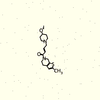 Cc1cc2c(s1)CN(C(=O)/C=C/CN1CCC(OI)CC1)CC2